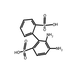 Nc1ccc(S(=O)(=O)O)c(-c2ccccc2S(=O)(=O)O)c1N